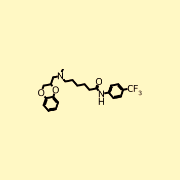 CN(CCCCCC(=O)Nc1ccc(C(F)(F)F)cc1)CC1COc2ccccc2O1